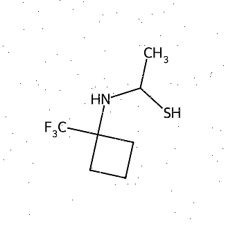 CC(S)NC1(C(F)(F)F)CCC1